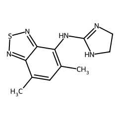 Cc1cc(C)c2nsnc2c1NC1=NCCN1